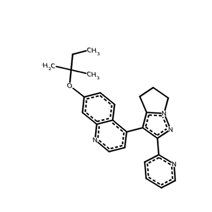 [CH2]C(C)(CC)Oc1ccc2c(-c3c(-c4ccccn4)nn4c3CCC4)ccnc2c1